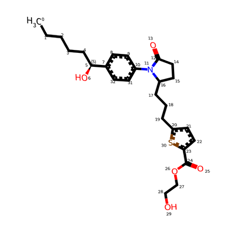 CCCCC[C@H](O)c1ccc(N2C(=O)CCC2CCCc2ccc(C(=O)OCCO)s2)cc1